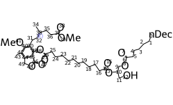 CCCCCCCCCCCCCCCC(=O)OCC(CO)OC(=O)CCCCCCCCCCC(=O)Oc1c(C/C=C(\C)CCC(=O)OC)c(OC)c(C)c2c1C(=O)OC2